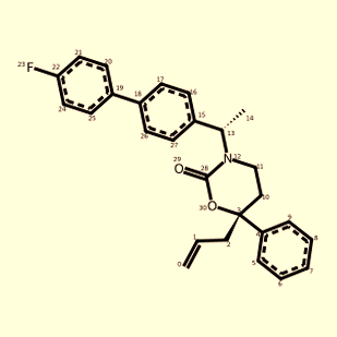 C=CC[C@]1(c2ccccc2)CCN([C@@H](C)c2ccc(-c3ccc(F)cc3)cc2)C(=O)O1